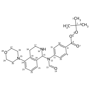 CC(C)(C)OOC(=O)c1ccc(N(C=O)C2NCCc3c2cccc3N2CCOCC2)cc1